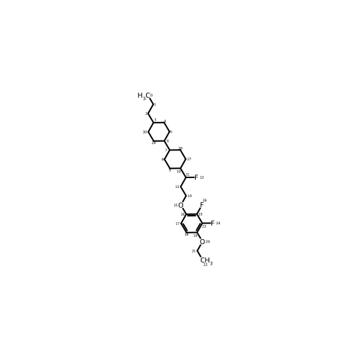 CCCC1CCC(C2CCC(C(F)CCOc3ccc(OCC)c(F)c3F)CC2)CC1